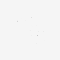 CN1Cc2cc(F)c(C(=O)c3cc(F)ccc3Cl)c(Br)c2C1